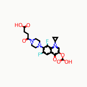 O=C(O)CCC(=O)N1CCN(c2c(F)cc3c(=O)c(OC(=O)O)cn(C4CC4)c3c2F)CC1